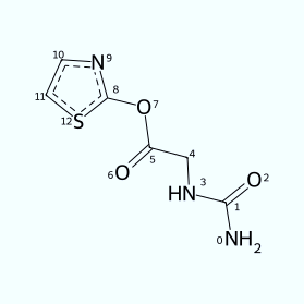 NC(=O)NCC(=O)Oc1nccs1